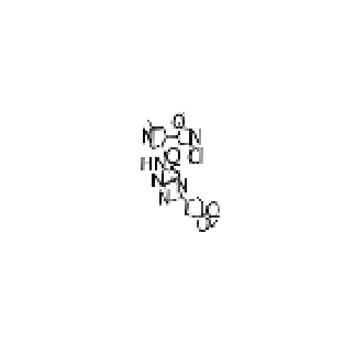 COc1cnc(Cl)cc1-c1cc(C)ncc1C(=O)Nc1nc2ncc(C3=CCC4(CC3)OCCO4)nc2s1